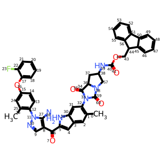 Cc1cc2cc(C(=O)c3cnn(-c4ccc(Oc5ccccc5F)cc4C)c3N)[nH]c2cc1N1C(=O)C2CC(NC(=O)OCC3c4ccccc4-c4ccccc43)CN2C1=O